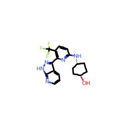 O[C@H]1CC[C@H](Nc2ccc(C(F)(F)F)c(-c3n[nH]c4ncccc34)n2)CC1